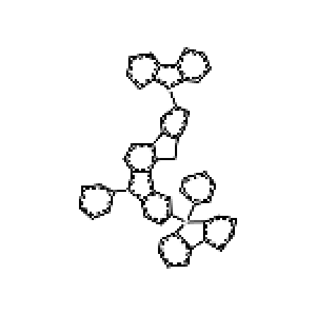 c1ccc(-n2c3ccc([Si]4(c5ccccc5)c5ccccc5-c5ccccc54)cc3c3c4c(ccc32)-c2cc(-n3c5ccccc5c5ccccc53)ccc2C4)cc1